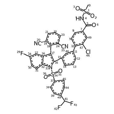 CS(=O)(=O)NC(=O)c1ccc(-c2cccc(-c3c(-c4c(C#N)cccc4C#N)c4cc(F)ccc4n3S(=O)(=O)c3ccc(C(F)F)cc3)c2)c(Cl)c1